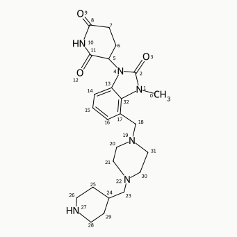 Cn1c(=O)n(C2CCC(=O)NC2=O)c2cccc(CN3CCN(CC4CCNCC4)CC3)c21